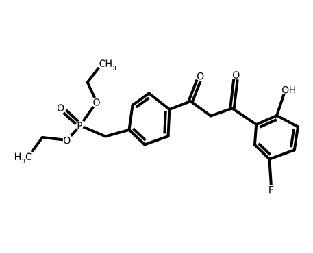 CCOP(=O)(Cc1ccc(C(=O)CC(=O)c2cc(F)ccc2O)cc1)OCC